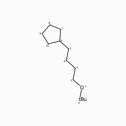 CC(C)(C)OCCCCC1CCCC1